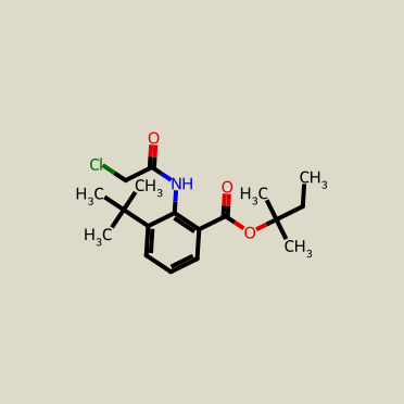 CCC(C)(C)OC(=O)c1cccc(C(C)(C)C)c1NC(=O)CCl